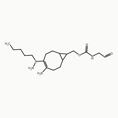 CCCCCN(N)/C1=C(\N)CCC2C(CC1)C2COC(=O)NCC=O